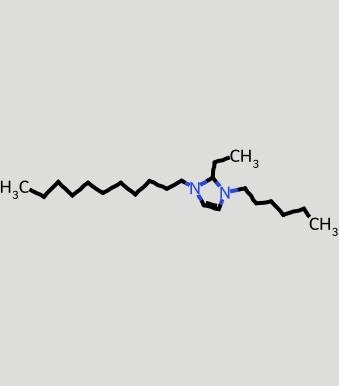 CCCCCCCCCCCN1C=CN(CCCCCC)C1CC